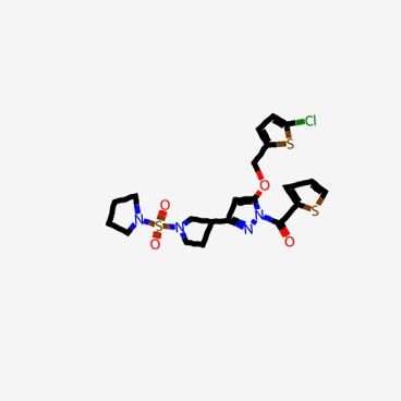 O=C(c1cccs1)n1nc(C2CCN(S(=O)(=O)N3CCCC3)C2)cc1OCc1ccc(Cl)s1